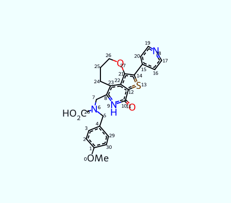 COc1ccc(CN(Cc2[nH]c(=O)c3sc(-c4ccncc4)c4c3c2CCCO4)C(=O)O)cc1